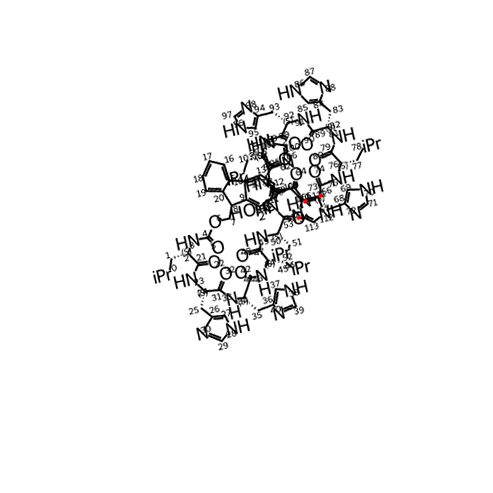 CC(C)C[C@H](NC(=O)OCC1c2ccccc2-c2ccccc21)C(=O)N[C@@H](Cc1c[nH]cn1)C(=O)N[C@@H](Cc1c[nH]cn1)C(=O)N[C@@H](CC(C)C)C(=O)N[C@@H](CC(C)C)C(=O)N[C@@H](Cc1c[nH]cn1)C(=O)N[C@@H](Cc1c[nH]cn1)C(=O)N[C@@H](CC(C)C)C(=O)N[C@@H](Cc1c[nH]cn1)C(=O)N[C@@H](Cc1c[nH]cn1)C(=O)N[C@@H](CC(C)C)C(=O)N[C@@H](Cc1c[nH]cn1)C(=O)O